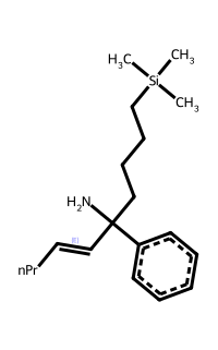 CCC/C=C/C(N)(CCCC[Si](C)(C)C)c1ccccc1